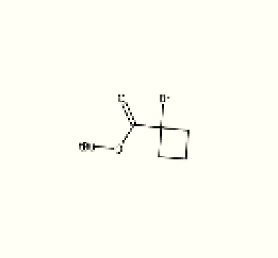 CC(C)(C)OC(=O)C1(Br)CCC1